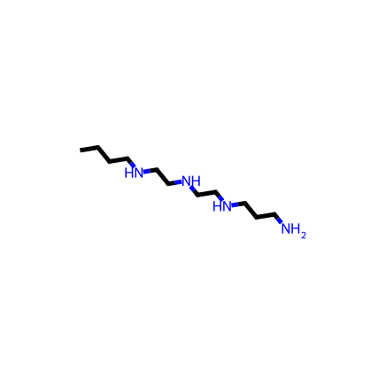 CCCCNCCNCCNCCCN